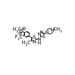 Cc1nc(Nc2nnc(N3CCN(C)CC3)s2)sc1-c1ccc(S(C)(=O)=O)c(C(F)(F)F)c1